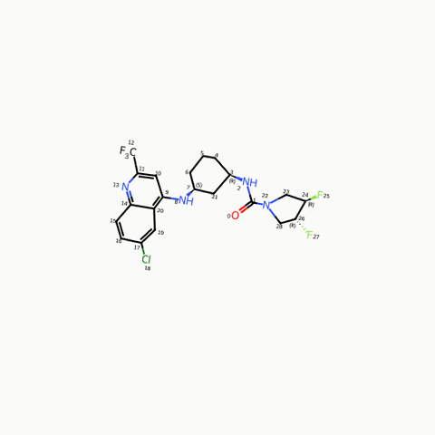 O=C(N[C@@H]1CCC[C@H](Nc2cc(C(F)(F)F)nc3ccc(Cl)cc23)C1)N1C[C@@H](F)[C@H](F)C1